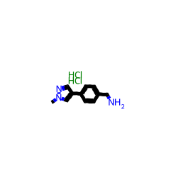 Cl.Cl.Cn1cc(-c2ccc(CN)cc2)cn1